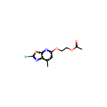 CC(=O)OCCOc1cc(C)c2nc(Br)sc2n1